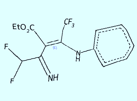 CCOC(=O)/C(C(=N)C(F)F)=C(/Nc1ccccc1)C(F)(F)F